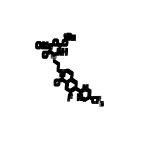 COC(=O)[C@@H](CCCn1ccc2cc(-c3ncc(C(F)(F)F)cn3)c(F)cc2c1=O)NC(=O)OC(C)(C)C